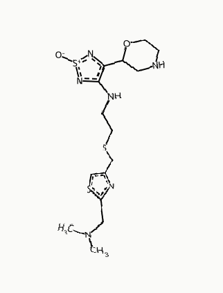 CN(C)Cc1nc(CSCCNc2n[s+]([O-])nc2C2CNCCO2)cs1